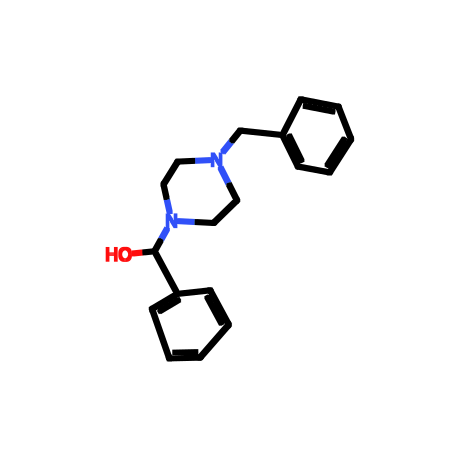 OC(c1ccccc1)N1CCN(Cc2ccccc2)CC1